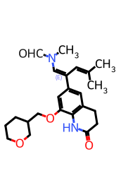 CC(C)=C/C(=C\N(C)C=O)c1cc2c(c(OCC3CCCOC3)c1)NC(=O)CC2